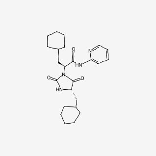 O=C(Nc1ccccn1)[C@H](CC1CCCCC1)N1C(=O)N[C@@H](CC2CCCCC2)C1=O